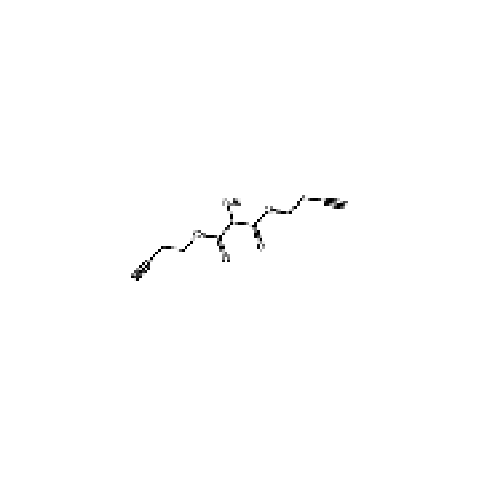 C#CCCOC(=O)C(CCCC)C(=O)OCCC#C